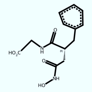 O=C(O)CNC(=O)[C@@H](CC(=O)NO)Cc1ccccc1